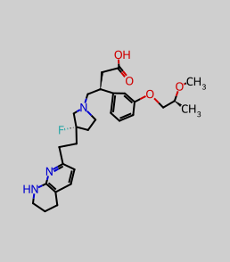 CO[C@@H](C)COc1cccc([C@H](CC(=O)O)CN2CC[C@@](F)(CCc3ccc4c(n3)NCCC4)C2)c1